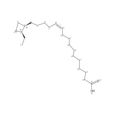 CC[C@H]1OC[C@H]1CCCC/C=C\CCCCCCCCCC(=O)O